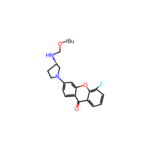 CC(C)(C)OCN[C@@H]1CCN(c2ccc3c(=O)c4cccc(F)c4oc3c2)C1